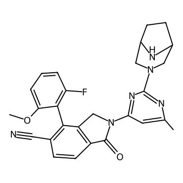 COc1cccc(F)c1-c1c(C#N)ccc2c1CN(c1cc(C)nc(N3CC4CCC(C3)N4)n1)C2=O